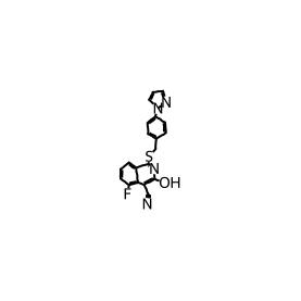 N#Cc1c(O)nc(SCc2ccc(-n3cccn3)cc2)c2cccc(F)c12